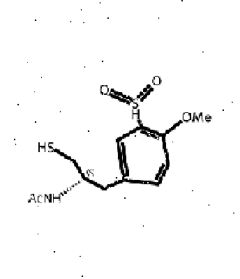 COc1ccc(C[C@@H](CS)NC(C)=O)cc1[SH](=O)=O